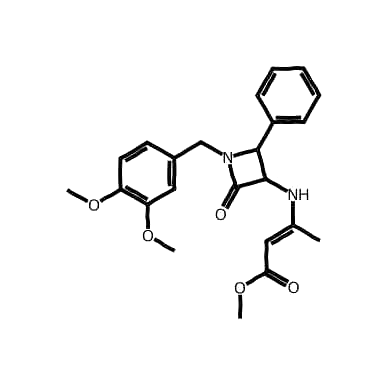 COC(=O)C=C(C)NC1C(=O)N(Cc2ccc(OC)c(OC)c2)C1c1ccccc1